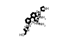 NN/N=C(\N)c1c(-c2cccc(Nc3nc(CO)cs3)c2)ccc(SN[C@@H]2CCNC2)c1S(N)(=O)=O